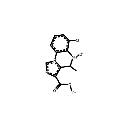 CC(C)OC(=O)c1ncn2c1C(C)[NH+]([O-])c1c(Cl)cccc1-2